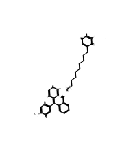 CCNc1cc2c(cc1C)C(c1ccccc1C(=O)OCCCCCCCCCCC1=CC(=O)C(C)=C(C)C1=O)=C1C=C(C)C(C)C=C1O2